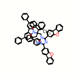 C/C=C(/c1ccccc1)C(Cc1ccccc1)(CN(C)/C(=N\C(=N)c1ccc2c(c1)oc1ccccc12)c1ccc2c(c1)oc1ccccc12)n1c2c(-c3ccccc3)cc(-c3ccccc3)cc2c2cc(-c3ccccc3)cc(-c3ccccc3)c21